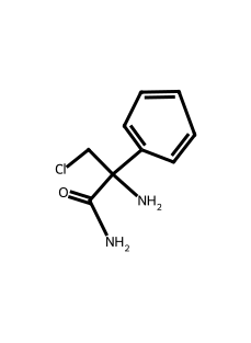 NC(=O)C(N)(CCl)c1ccccc1